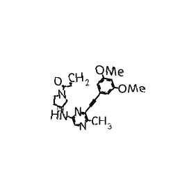 C=CC(=O)N1CC[C@H](Nc2cnc(C)c(C#Cc3cc(OC)cc(OC)c3)n2)C1